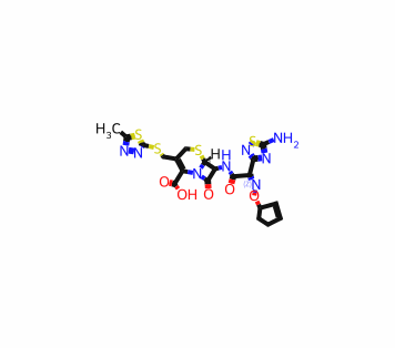 Cc1nnc(SCC2=C(C(=O)O)N3C(=O)C(NC(=O)/C(=N\OC4C=CCC4)c4nsc(N)n4)[C@H]3SC2)s1